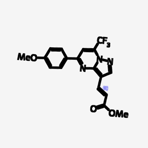 COC(=O)/C=C/c1cnn2c(C(F)(F)F)cc(-c3ccc(OC)cc3)nc12